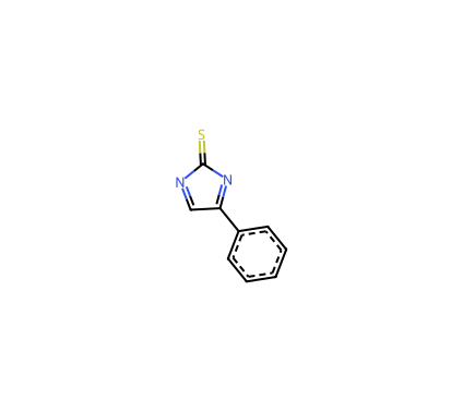 S=C1N=CC(c2ccccc2)=N1